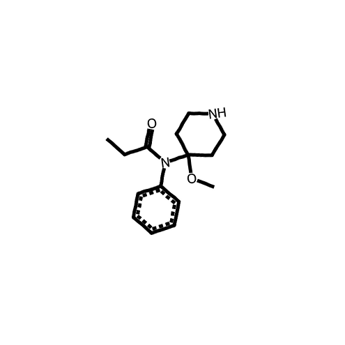 CCC(=O)N(c1ccccc1)C1(OC)CCNCC1